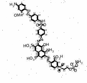 COc1cc(N)ccc1/N=N/c1ccc(NS(=O)(=O)c2ccc(/N=N/c3c(S(=O)(=O)O)cc4c(S(=O)(=O)O)cc(/N=N/c5ccc(S(=O)(=O)CCOS(=O)(=O)ON)cc5S(=O)(=O)O)c(N)c4c3O)cc2)cc1